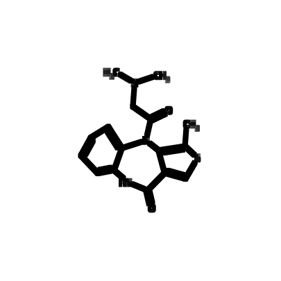 Cc1scc2c1N(C(=O)CN(C)C)c1ccccc1NC2=O